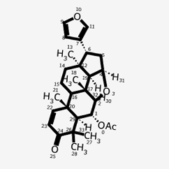 CC(=O)O[C@H]1[C@H]2O[C@@H]3C[C@@H](c4ccoc4)[C@]4(C)CCC([C@]2(C)[C@H]34)[C@@]2(C)C=CC(=O)C(C)(C)[C@H]12